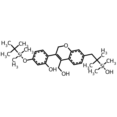 CC(C)(Cc1ccc2c(c1)OCC(c1ccc(O[Si](C)(C)C(C)(C)C)cc1O)=C2CO)[Si](C)(C)O